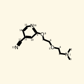 CN(C)CCOCCOc1cc(C#N)ccn1